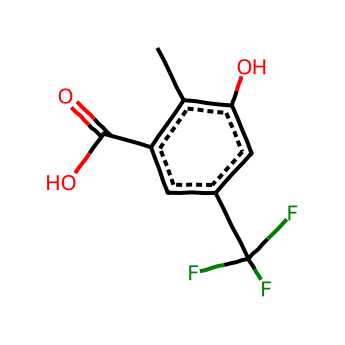 Cc1c(O)cc(C(F)(F)F)cc1C(=O)O